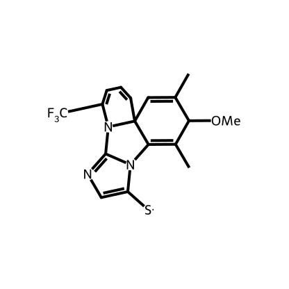 COC1C(C)=CC23C=CC=C(C(F)(F)F)N2c2ncc([S])n2C3=C1C